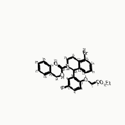 CCOC(=O)COc1ccc(F)cc1C1c2cccc(Br)c2CCN1C(=O)OCc1ccccc1